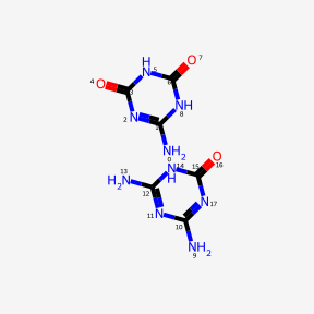 Nc1nc(=O)[nH]c(=O)[nH]1.Nc1nc(N)[nH]c(=O)n1